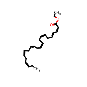 CC/C=C\C/C=C\C/C=C\C/C=C\C/C=C\C/C=C/C=C\C(=O)OCC